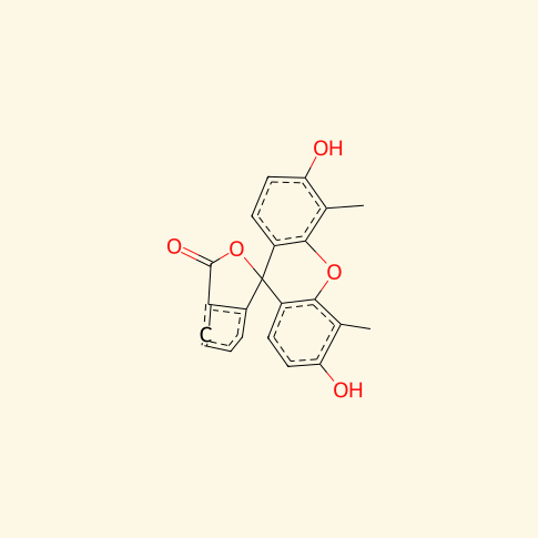 Cc1c(O)ccc2c1Oc1c(ccc(O)c1C)C21OC(=O)c2ccccc21